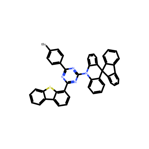 CC(C)(C)c1ccc(-c2nc(-c3cccc4c3sc3ccccc34)nc(N3c4ccccc4C4(c5ccccc5-c5ccccc54)c4ccccc43)n2)cc1